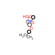 CC(C)c1ccc(OC2CCC3(CC2)SC[C@H](C(=O)O)N3C(=O)c2ccccc2)cc1